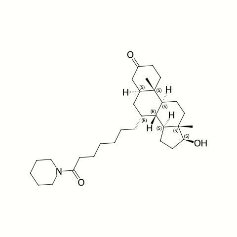 C[C@]12CCC(=O)C[C@@H]1C[C@@H](CCCCCCC(=O)N1CCCCC1)[C@@H]1[C@@H]2CC[C@]2(C)[C@@H](O)CC[C@@H]12